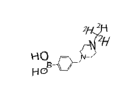 [2H]C([2H])([2H])N1CCN(Cc2ccc(B(O)O)cc2)CC1